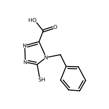 O=C(O)c1nnc(S)n1Cc1ccccc1